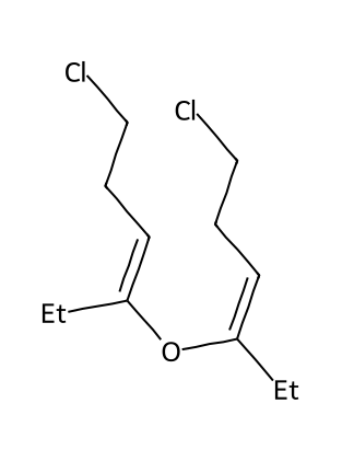 CCC(=CCCCl)OC(=CCCCl)CC